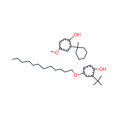 CCCCCCCCCCCCOc1ccc(O)c(C(C)(C)C)c1.COc1ccc(O)c(C2(C)CCCCC2)c1